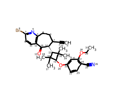 C#CC1CCc2nc(Br)ccc2C(=O)C1[C@H]1C(C)(C)[C@H](Oc2ccc(C#N)c(OCC)c2)C1(C)C